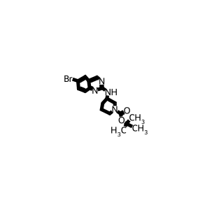 CC(C)(C)OC(=O)N1CCCC(Nc2ncc3cc(Br)ccc3n2)C1